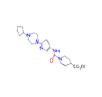 CCOC(=O)C1CCN(C(=O)Nc2ccc(N3CCN(C4CCCC4)CC3)nc2)CC1